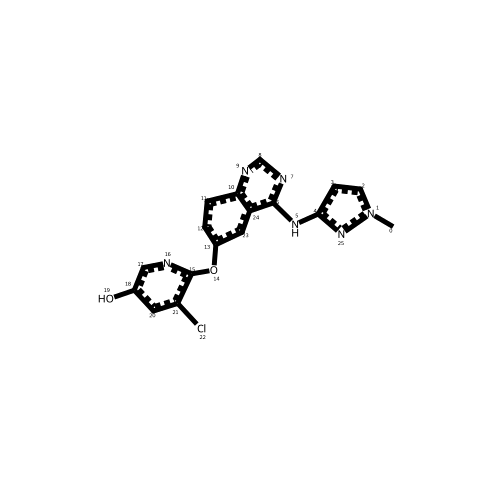 Cn1ccc(Nc2ncnc3ccc(Oc4ncc(O)cc4Cl)cc23)n1